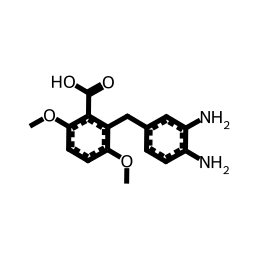 COc1ccc(OC)c(C(=O)O)c1Cc1ccc(N)c(N)c1